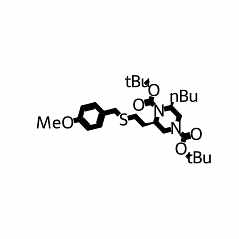 CCCC[C@H]1CN(C(=O)OC(C)(C)C)C[C@@H](CCSCc2ccc(OC)cc2)N1C(=O)OC(C)(C)C